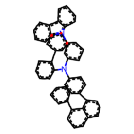 c1ccc(-c2ccccc2N(c2ccc(-c3cccc4cccc(-c5ccccc5)c34)cc2)c2cccc(-n3c4ccccc4c4ccccc43)c2)cc1